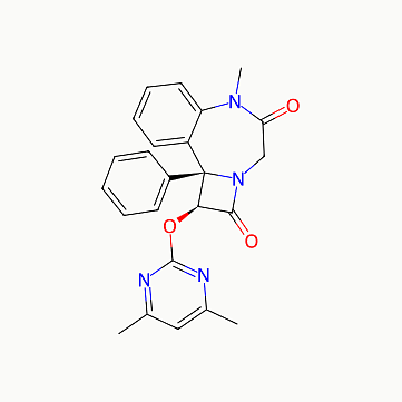 Cc1cc(C)nc(O[C@@H]2C(=O)N3CC(=O)N(C)c4ccccc4[C@@]23c2ccccc2)n1